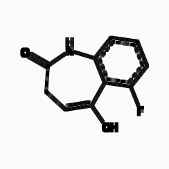 O=C1CC=C(O)c2c(F)cccc2N1